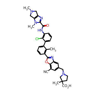 Cc1c(-c2nc3cc(CN4CCC(C)(C(=O)O)C4)cc(C#N)c3o2)cccc1-c1cccc(NC(=O)c2nc3c(n2C)CN(C)C3)c1Cl